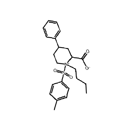 CCCC[N+]1(S(=O)(=O)c2ccc(C)cc2)CCC(c2ccccc2)CC1C(=O)[O-]